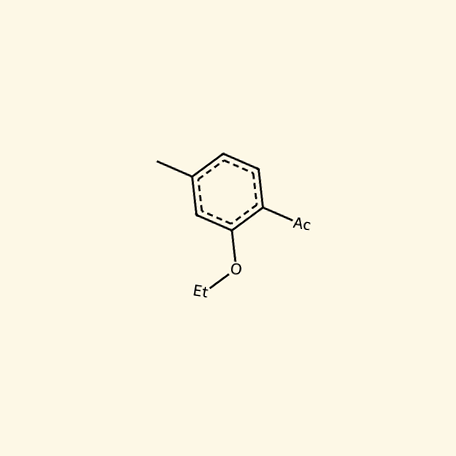 CCOc1cc(C)ccc1C(C)=O